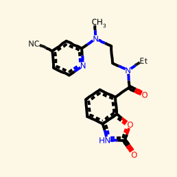 CCN(CCN(C)c1cc(C#N)ccn1)C(=O)c1cccc2[nH]c(=O)oc12